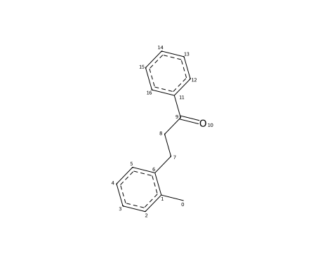 Cc1ccccc1CCC(=O)c1ccccc1